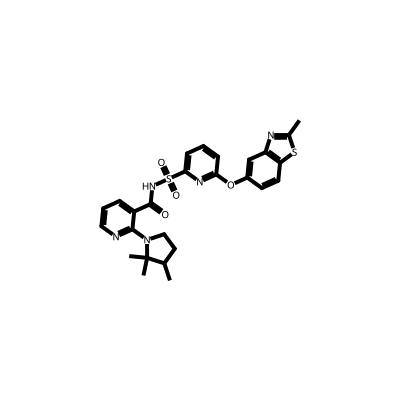 Cc1nc2cc(Oc3cccc(S(=O)(=O)NC(=O)c4cccnc4N4CCC(C)C4(C)C)n3)ccc2s1